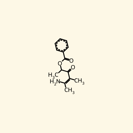 CC(N)=C(C)C(=O)C(C)OC(=O)c1ccccc1